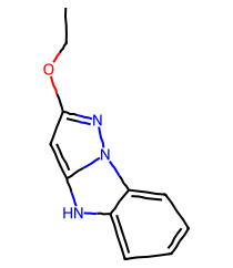 CCOc1cc2[nH]c3ccccc3n2n1